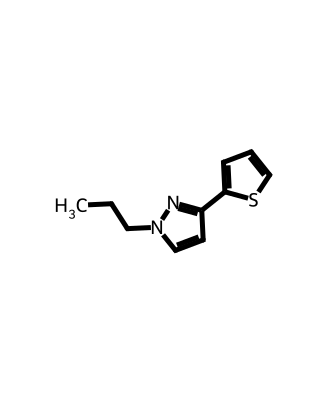 CCCn1ccc(-c2cccs2)n1